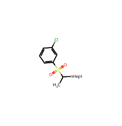 CCCCCCCC(C)S(=O)(=O)c1cccc(Cl)c1